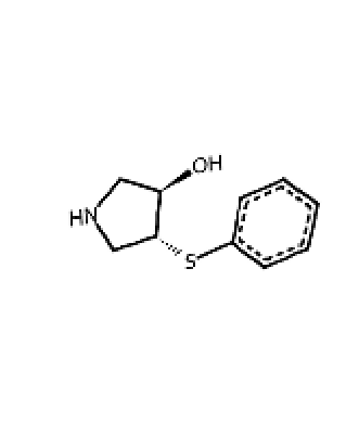 O[C@@H]1CNC[C@H]1Sc1ccccc1